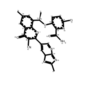 CC1=NC2C=C(c3oc4c([C@@H](C)Oc5ccc(Cl)nc5C(N)=O)cc(C)cc4c(=O)c3C#N)C=NC2=N1